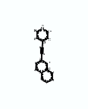 C(#Cc1ccc2ccccc2c1)c1ccncc1